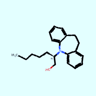 CCCCC[C@H](CO)N1c2ccccc2CCc2ccccc21